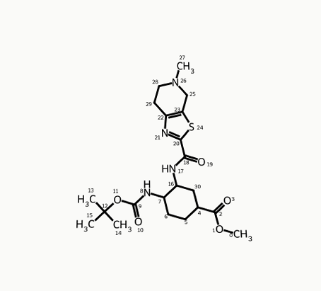 COC(=O)C1CCC(NC(=O)OC(C)(C)C)C(NC(=O)c2nc3c(s2)CN(C)CC3)C1